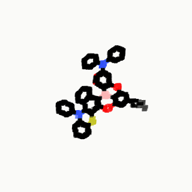 Cc1cc2c3c(c1)Oc1c4c(c5ccccc5c1B3c1c(cc(N(c3ccccc3)c3ccccc3)c3ccccc13)O2)N(c1ccccc1)c1ccccc1S4